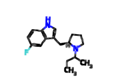 CCC(C)N1CCC[C@@H]1Cc1c[nH]c2ccc(F)cc12